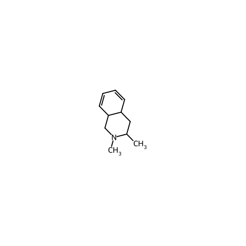 CC1CC2C=CC=CC2CN1C